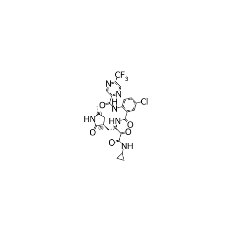 C[C@@H]1C[C@@H](C[C@H](NC(=O)c2cc(Cl)ccc2NC(=O)c2cnc(C(F)(F)F)cn2)C(=O)C(=O)NC2CC2)C(=O)N1